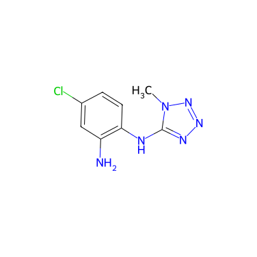 Cn1nnnc1Nc1ccc(Cl)cc1N